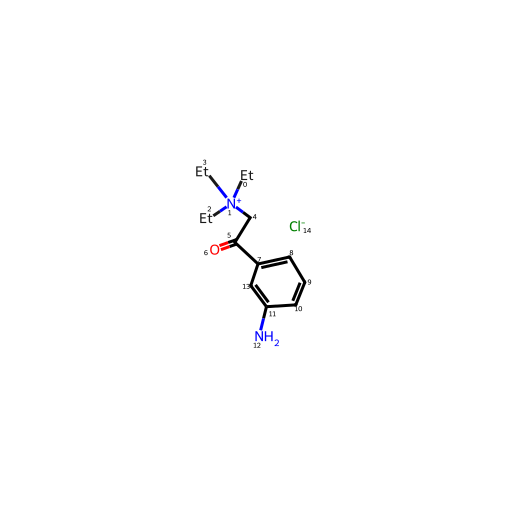 CC[N+](CC)(CC)CC(=O)c1cccc(N)c1.[Cl-]